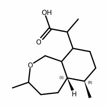 CC1CC[C@@H]2C(CO1)C(C(C)C(=O)O)CC[C@H]2C